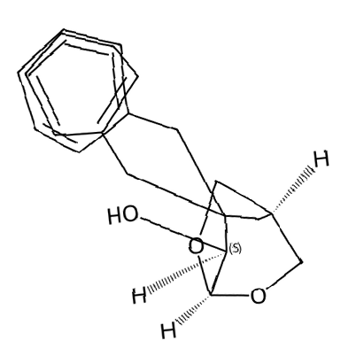 O[C@@H]1[C@H]2OC[C@H](CO2)CC1(Cc1ccccc1)Cc1ccccc1